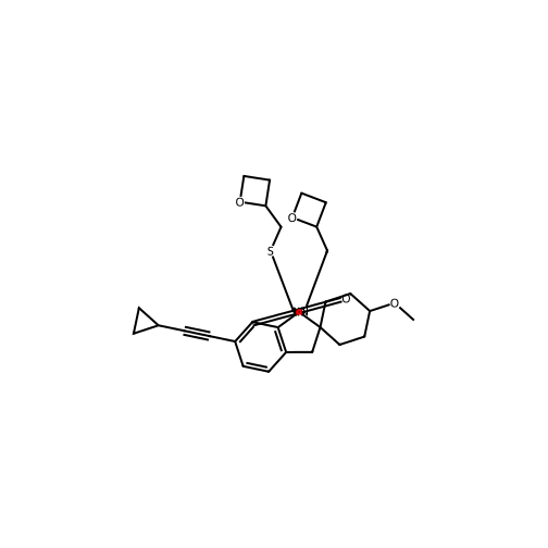 COC1CCC2(CC1)Cc1ccc(C#CC3CC3)cc1C21N=C(SCC2CCO2)N(CC2CCO2)C1=O